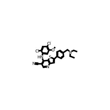 CCN(CC)Cc1ccc(-c2cc3ncc(C#N)c(Nc4cc(OC)c(Cl)cc4Cl)c3s2)cc1